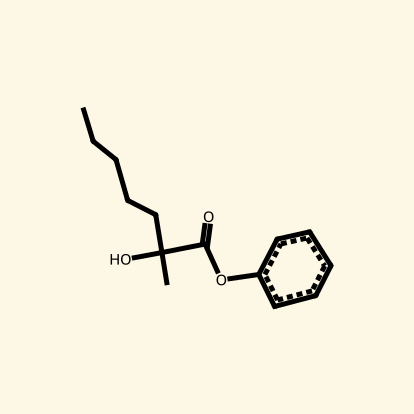 CCCCCC(C)(O)C(=O)Oc1ccccc1